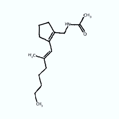 CCCCC/C(C)=C/C1=C(CNC(C)=O)CCC1